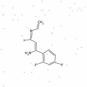 C=C/N=C(I)\C=C(/N)c1ccc(F)cc1F